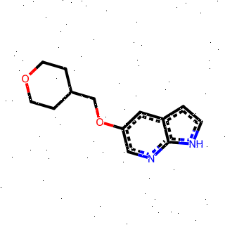 c1cc2cc(OCC3CCOCC3)cnc2[nH]1